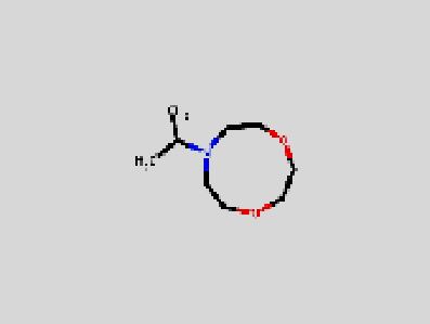 CC(C)N1CCOCCOCC1